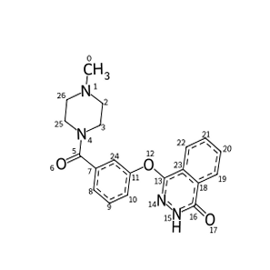 CN1CCN(C(=O)c2cccc(Oc3n[nH]c(=O)c4ccccc34)c2)CC1